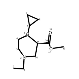 CCN1CCN(C2CC2)[C@@H](C(=O)OC)C1